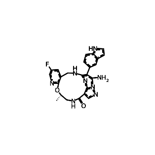 C[C@H]1CNC(=O)c2cnn3c(N)c(-c4ccc5[nH]ccc5c4)c(nc23)NCc2cc(F)cnc2O1